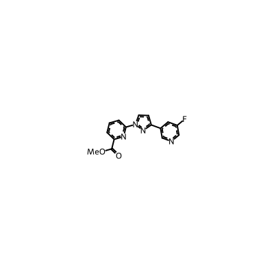 COC(=O)c1cccc(-n2ccc(-c3cncc(F)c3)n2)n1